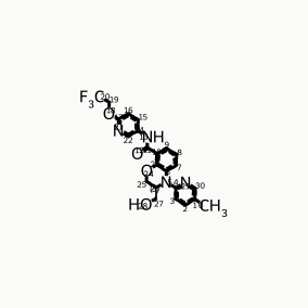 Cc1ccc(N2c3cccc(C(=O)Nc4ccc(OCC(F)(F)F)nc4)c3OC[C@@H]2CO)nc1